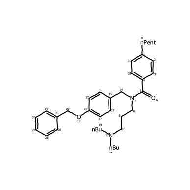 CCCCCc1ccc(C(=O)N(CCCN(CCCC)CCCC)Cc2ccc(OCc3ccccc3)cc2)cc1